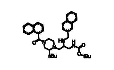 CCCCC1CN(C(=O)c2cccc3ccccc23)CCN1CC(CNC(=O)OC(C)(C)C)NCc1ccc2ccccc2c1